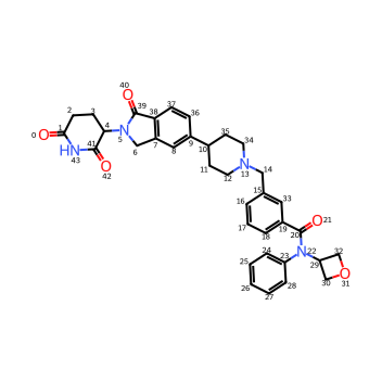 O=C1CCC(N2Cc3cc(C4CCN(Cc5cccc(C(=O)N(c6ccccc6)C6COC6)c5)CC4)ccc3C2=O)C(=O)N1